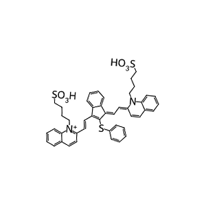 O=S(=O)(O)CCCCN1/C(=C/C=C2C(Sc3ccccc3)=C(/C=C/c3ccc4ccccc4[n+]3CCCCS(=O)(=O)O)c3ccccc3/2)C=Cc2ccccc21